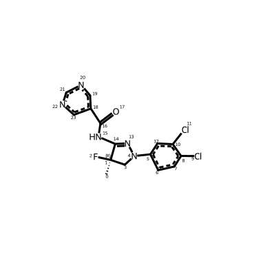 C[C@@]1(F)CN(c2ccc(Cl)c(Cl)c2)N=C1NC(=O)c1cncnc1